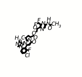 CC(=O)Nc1cnc(C(=O)COC(=O)C2C[C@H](C)c3nc(-c4c(-n5cnnn5)ccc(Cl)c4F)cc(=O)n32)c(C(F)F)n1